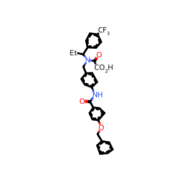 CCC(c1ccc(C(F)(F)F)cc1)N(Cc1ccc(NC(=O)c2ccc(OCc3ccccc3)cc2)cc1)C(=O)C(=O)O